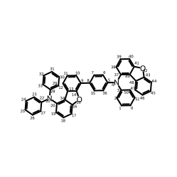 c1ccc(N(c2ccc(-c3cccc4c3oc3cccc(N(c5ccccc5)c5ccccc5)c34)cc2)c2cccc3oc4ccccc4c23)cc1